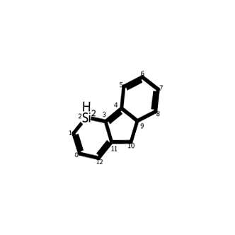 C1=C[SiH2]C2=C3C=CC=CC3CC2=C1